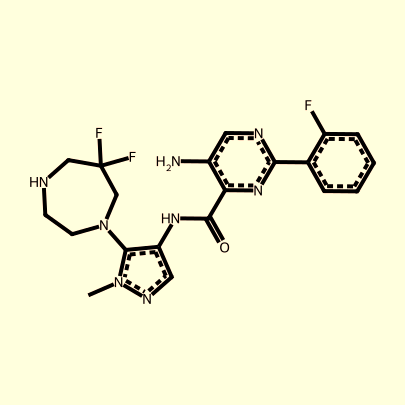 Cn1ncc(NC(=O)c2nc(-c3ccccc3F)ncc2N)c1N1CCNCC(F)(F)C1